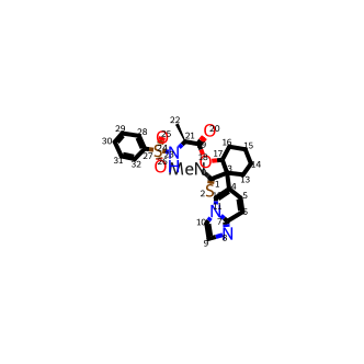 CNC(=S)C1(c2ccc3nccn3c2)CCCCC1OC(=O)[C@H](C)NS(=O)(=O)c1ccccc1